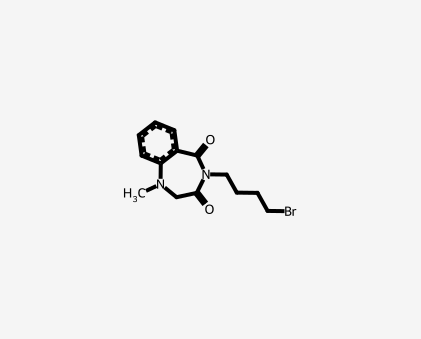 CN1CC(=O)N(CCCCBr)C(=O)c2ccccc21